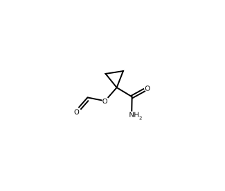 NC(=O)C1(OC=O)CC1